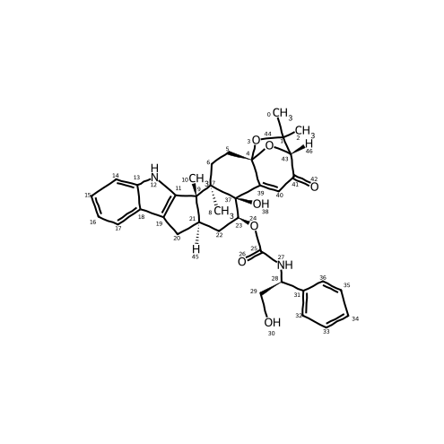 CC1(C)O[C@@]23CC[C@]4(C)[C@@]5(C)c6[nH]c7ccccc7c6C[C@@H]5C[C@H](OC(=O)N[C@H](CO)c5ccccc5)[C@@]4(O)C2=CC(=O)[C@@H]1O3